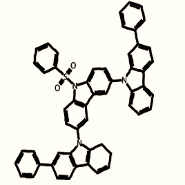 O=S(=O)(c1ccccc1)n1c2ccc(-n3c4c(c5ccc(-c6ccccc6)cc53)C=CCC4)cc2c2cc(-n3c4ccccc4c4ccc(-c5ccccc5)cc43)ccc21